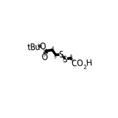 CC(C)(C)OC(=O)CCSSCC(=O)O